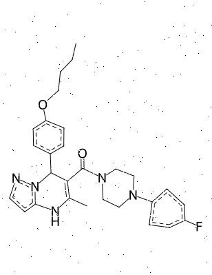 CCCCOc1ccc(C2C(C(=O)N3CCN(c4ccc(F)cc4)CC3)=C(C)Nc3ccnn32)cc1